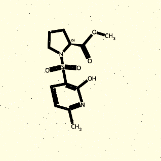 COC(=O)[C@@H]1CCCN1S(=O)(=O)c1ccc(C)nc1O